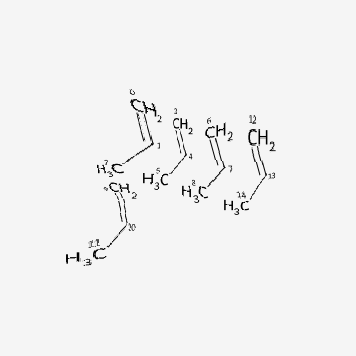 C=CC.C=CC.C=CC.C=CC.C=CC